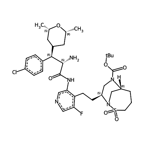 C[C@@H]1CC([C@H](c2ccc(Cl)cc2)[C@H](N)C(=O)Nc2cncc(F)c2CC[C@H]2CN(C(=O)OC(C)(C)C)[C@@H]3CCCS(=O)(=O)N2C3)C[C@H](C)O1